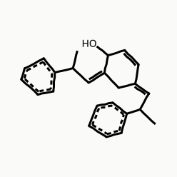 CC(C=C1C=CC(O)C(=CC(C)c2ccccc2)C1)c1ccccc1